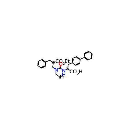 CCOC(=O)[C@@H](Cc1ccccc1)CN(CC(C)C)C(=O)N[C@@H](Cc1ccc(-c2ccccc2)cc1)C(=O)O